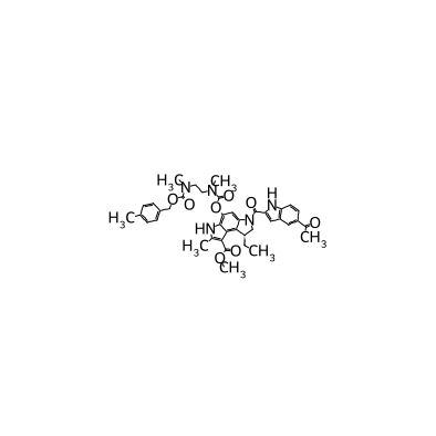 CC[C@@H]1CN(C(=O)c2cc3cc(C(C)=O)ccc3[nH]2)c2cc(OC(=O)N(C)CCN(C)C(=O)OCc3ccc(C)cc3)c3[nH]c(C)c(C(=O)OC)c3c21